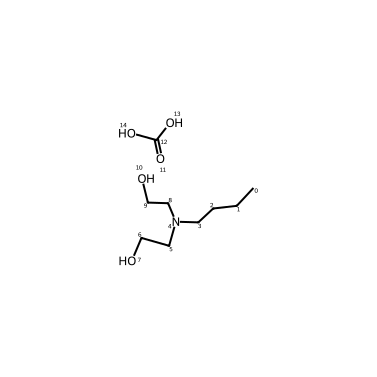 CCCCN(CCO)CCO.O=C(O)O